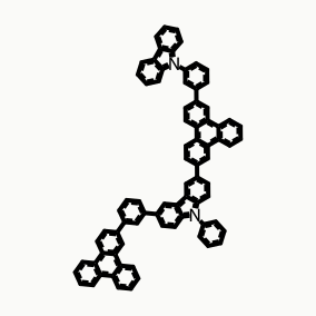 c1ccc(-n2c3ccc(-c4cccc(-c5ccc6c7ccccc7c7ccccc7c6c5)c4)cc3c3cc(-c4ccc5c6ccc(-c7cccc(-n8c9ccccc9c9ccccc98)c7)cc6c6ccccc6c5c4)ccc32)cc1